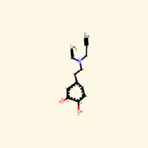 C#CCN(C=C)CCc1ccc(O)c(O)c1